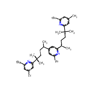 CCc1cc(C(C)(C)C)nc(C(C)(C)CCC(C)c2cc(C(C)C)nc(C(C)CCC(C)(C)c3cc(C)cc(C(C)(C)C)n3)c2)c1